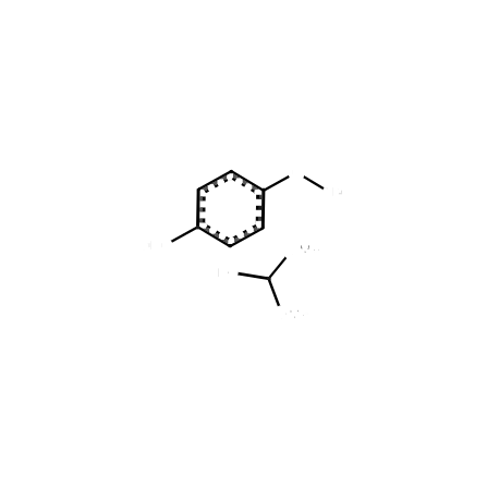 CC(C)(C)Oc1ccc(C=O)cc1.COC(C)OC